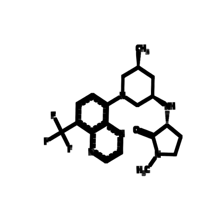 C[C@H]1C[C@@H](N[C@@H]2CCN(C)C2=O)CN(c2ccc(C(F)(F)F)c3nccnc23)C1